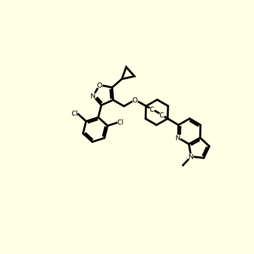 Cn1ccc2ccc(C34CCC(OCc5c(-c6c(Cl)cccc6Cl)noc5C5CC5)(CC3)CC4)nc21